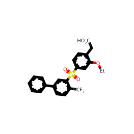 CCOc1cc(S(=O)(=O)c2cc(-c3ccccc3)ccc2C(F)(F)F)ccc1CC(=O)O